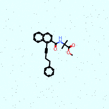 COC(=O)C(C)(C)NC(=O)c1ccc2ccccc2c1C#CCCc1ccccc1